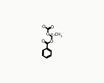 C[C@@H](OC([O])=O)OC(=O)c1ccccc1